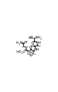 CC[C@H](C)[C@H](N)C(=O)N[C@@H](C)C(=O)N[C@@H](CO)C(=O)N[C@@H](CCC(N)=O)C(=O)O